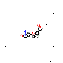 CC(Oc1cc(F)cc(C2CCOC(=O)C2)c1)c1ccc2[nH]c(=O)ccc2c1